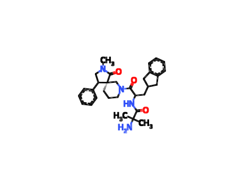 CN1CC(c2ccccc2)[C@@]2(CCCN(C(=O)C(CC3Cc4ccccc4C3)NC(=O)C(C)(C)N)C2)C1=O